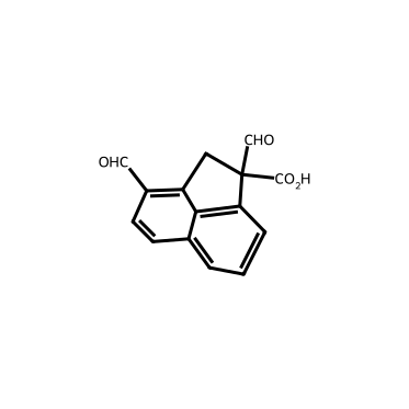 O=Cc1ccc2cccc3c2c1CC3(C=O)C(=O)O